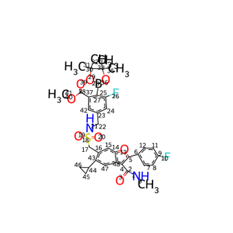 CNC(=O)c1c(-c2ccc(F)cc2)oc2cc(CS(=O)(=O)NCc3cc(F)c(B4OC(C)(C)C(C)(C)O4)c(C(=O)OC)c3)c(C3CC3)cc12